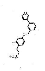 Cc1cc(OCc2cccc(-c3ccoc3)c2)ccc1CCC(=O)O